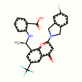 C[C@@H](Nc1ccccc1C(=O)O)c1cc(C(F)(F)F)cc2c(=O)cc(N3Cc4ccc(F)cc4C3)oc12